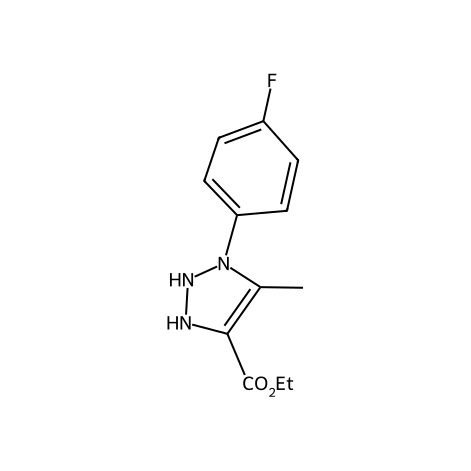 CCOC(=O)C1=C(C)N(c2ccc(F)cc2)NN1